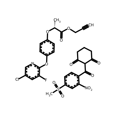 C#CCOC(=O)[C@@H](C)Oc1ccc(Oc2ncc(Cl)cc2F)cc1.CS(=O)(=O)c1ccc(C(=O)C2C(=O)CCCC2=O)c([N+](=O)[O-])c1